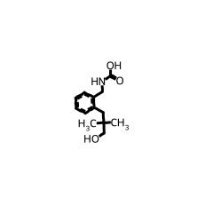 CC(C)(CO)Cc1ccccc1CNC(=O)O